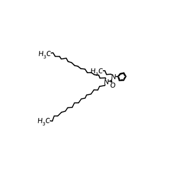 CCCCCCCCCCCCCCCCCCN(CCCCCCCCCCCCCCCCCC)C(=O)N(CCCC)c1ccccc1